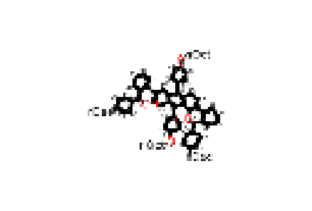 CCCCCCCCCCc1ccc(C(O)c2ccccc2-c2ccc3c(-c4ccc(OCCCCCCCC)cc4)c4cc(-c5ccccc5C(O)c5ccc(CCCCCCCCCC)cc5)ccc4c(-c4ccc(OCCCCCCCC)cc4)c3c2)cc1